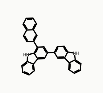 c1ccc2cc(-c3cc(-c4ccc5[nH]c6ccccc6c5c4)cc4c3[nH]c3ccccc34)ccc2c1